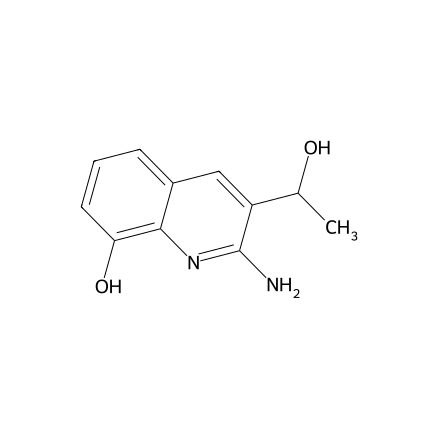 CC(O)c1cc2cccc(O)c2nc1N